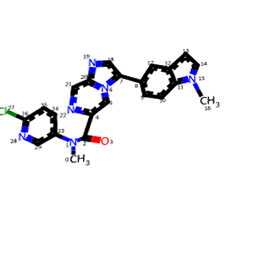 CN(C(=O)c1cn2c(-c3ccc4c(ccn4C)c3)cnc2cn1)c1ccc(Cl)nc1